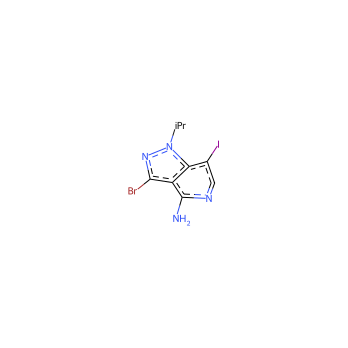 CC(C)n1nc(Br)c2c(N)ncc(I)c21